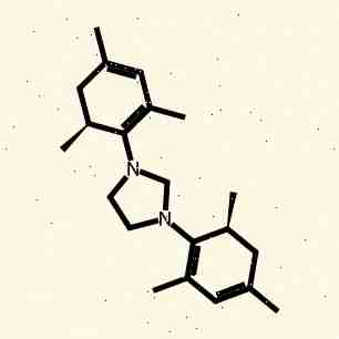 CC1=CC(C)=C(N2CCN(C3=C(C)C=C(C)C[C@@H]3C)C2)[C@@H](C)C1